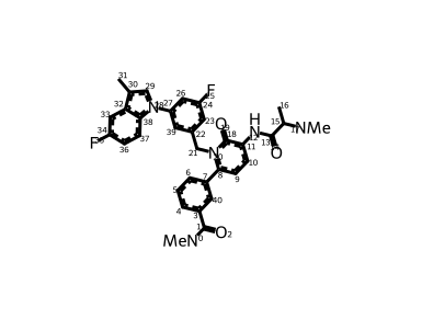 CNC(=O)c1cccc(-c2ccc(NC(=O)C(C)NC)c(=O)n2Cc2cc(F)cc(-n3cc(C)c4cc(F)ccc43)c2)c1